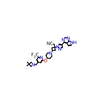 CC1(C)CN(Cc2cc(OC3CCN(C4CC(CC#N)(n5cc(-c6ncnc7[nH]ccc67)cn5)C4)CC3)nc(C(F)(F)F)c2)C1